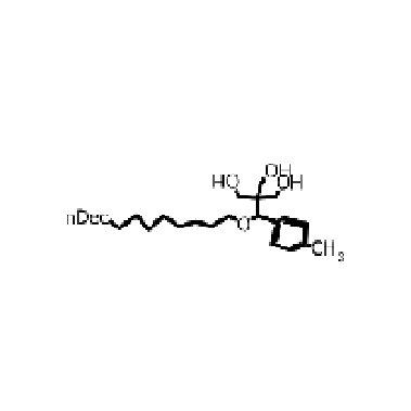 CCCCCCCCCCCCCCCCCCOC(c1ccc(C)cc1)C(CO)(CO)CO